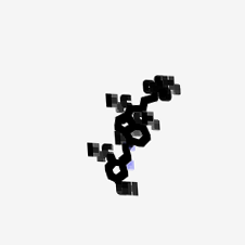 C=C1CCC(O)C/C1=C/C=C1\CCC[C@]2(C)C(C(C)CCCS(C)(=O)=O)=CC[C@@H]12